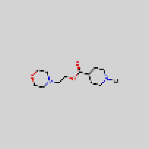 CCN1CCC(C(=O)OCCN2CCOCC2)CC1